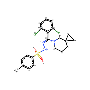 Cc1ccc(S(=O)(=O)N/N=C(/c2c(Cl)cccc2Cl)N2CCCC3(CC3)C2)cc1